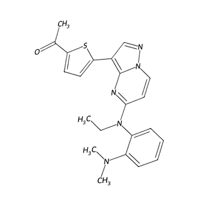 CCN(c1ccn2ncc(-c3ccc(C(C)=O)s3)c2n1)c1ccccc1N(C)C